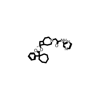 C[C@]1(OC(=O)C2(c3ccccc3)CCCCCC2)CC2CCN(CC(=O)Nc3cnccn3)CCC21